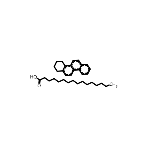 CCCCCCCCCCCCCCCC(=O)O.c1ccc2c(c1)ccc1c3c(ccc12)CCCC3